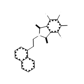 O=C1c2c(F)c(F)c(F)c(F)c2C(=O)N1CCc1cccc2ccccc12